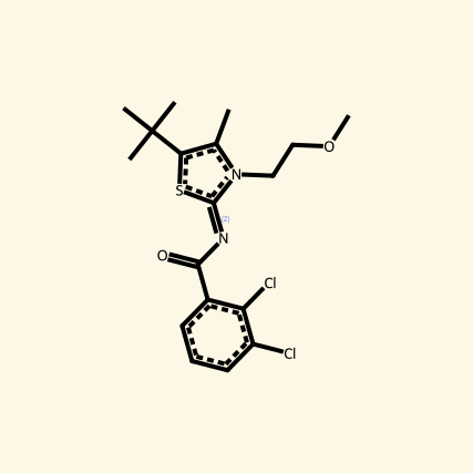 COCCn1c(C)c(C(C)(C)C)s/c1=N\C(=O)c1cccc(Cl)c1Cl